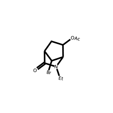 CCN1C(=O)C2CC(OC(C)=O)C1C2Br